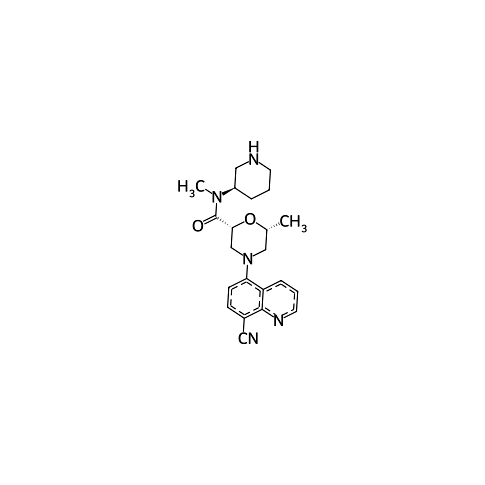 C[C@@H]1CN(c2ccc(C#N)c3ncccc23)C[C@H](C(=O)N(C)[C@@H]2CCCNC2)O1